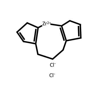 C1=CC2=[C](C1)[Zr+2][C]1=C(C=CC1)CCC2.[Cl-].[Cl-]